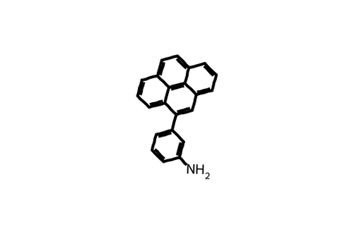 Nc1cccc(-c2cc3cccc4ccc5cccc2c5c43)c1